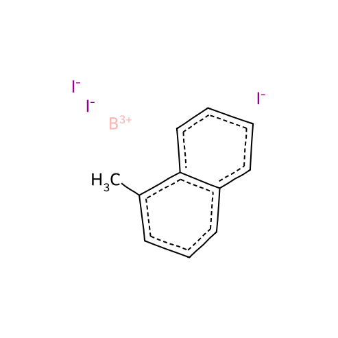 Cc1cccc2ccccc12.[B+3].[I-].[I-].[I-]